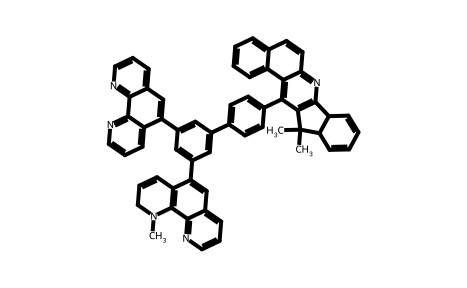 CN1CC=Cc2c(-c3cc(-c4ccc(-c5c6c(nc7ccc8ccccc8c57)C5C=CC=CC5C6(C)C)cc4)cc(-c4cc5cccnc5c5ncccc45)c3)cc3cccnc3c21